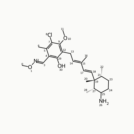 CO/N=C/c1c(C)c(Cl)c(OC)c(C/C=C(C)/C=C/[C@]2(C)[C@H](C)CCC(N)[C@@H]2C)c1O